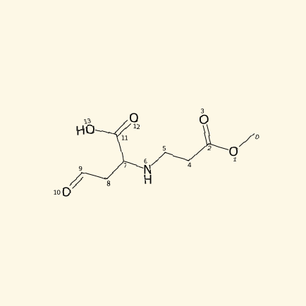 COC(=O)CCNC(CC=O)C(=O)O